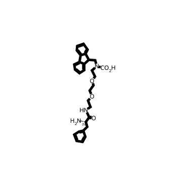 N[C@@H](Cc1ccccc1)C(=O)NCCOCCOCCN(CC1c2ccccc2-c2ccccc21)C(=O)O